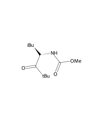 CC[C@H](C)[C@H](NC(=O)OC)C(=O)C(C)(C)C